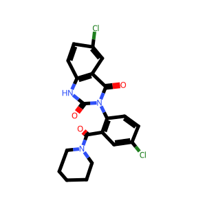 O=C(c1cc(Cl)ccc1-n1c(=O)[nH]c2ccc(Cl)cc2c1=O)N1CCCCC1